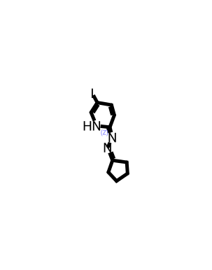 Ic1cc/c(=N/N=C2CCCC2)[nH]c1